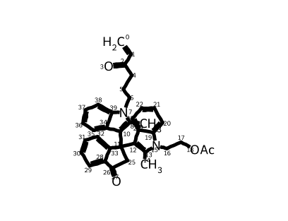 C=CC(=O)CCCn1c(C)c(C2(c3c(C)n(CCOC(C)=O)c4ccccc34)CC(=O)c3ccccc32)c2ccccc21